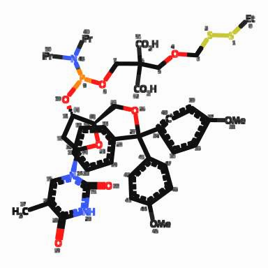 CCSSCOCC(COP(O[C@H]1C[C@H](n2cc(C)c(=O)[nH]c2=O)O[C@@H]1COC(c1ccccc1)(c1ccc(OC)cc1)c1ccc(OC)cc1)N(C(C)C)C(C)C)(C(=O)O)C(=O)O